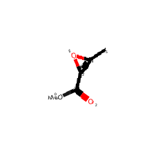 COC(=O)C1=C(C)O1